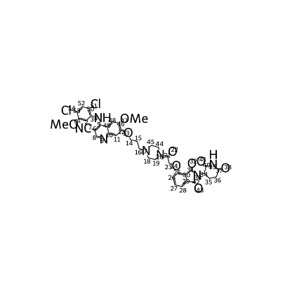 COc1cc(Nc2c(C#N)cnc3cc(OCCCN4CCN(C(=O)COc5cccc6c5C(=O)N(C5CCC(=O)NC5=O)C6=O)CC4)c(OC)cc23)c(Cl)cc1Cl